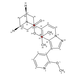 COc1ncccc1-c1cnn2ccc(N3C[C@H]4C[C@@H](C3)N4C(=O)OC(C)C)nc12